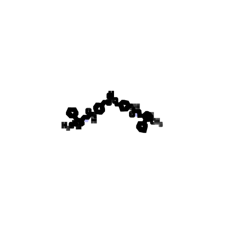 Cn1ncc(/C=C/C(=O)Nc2ccc(CO[PH](=O)OCc3ccc(NC(=O)/C=C/c4cnn(C)c4-c4ccccc4)cc3)cc2)c1-c1ccccc1